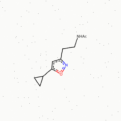 CC(=O)NCCc1cc(C2CC2)on1